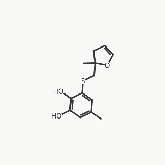 Cc1cc(O)c(O)c(SCC2(C)CC=CO2)c1